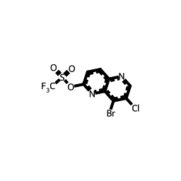 O=S(=O)(Oc1ccc2ncc(Cl)c(Br)c2n1)C(F)(F)F